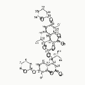 Cc1c(OC2CCCCO2)ccc2c(C(OC(=O)OC(c3cc(=O)oc4c(C)c(OC5CCCCO5)ccc34)C(C)C)C(C)C)cc(=O)oc12